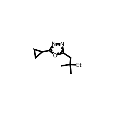 CCC(C)(C)Cc1nnc(C2CC2)o1